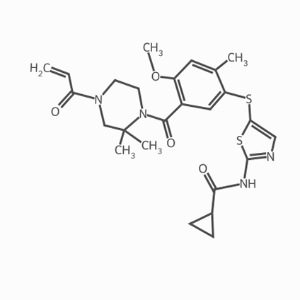 C=CC(=O)N1CCN(C(=O)c2cc(Sc3cnc(NC(=O)C4CC4)s3)c(C)cc2OC)C(C)(C)C1